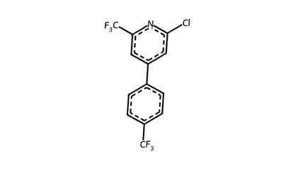 FC(F)(F)c1ccc(-c2cc(Cl)nc(C(F)(F)F)c2)cc1